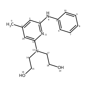 Cc1cc(Nc2ccccc2)nc(N(CCO)CCO)c1